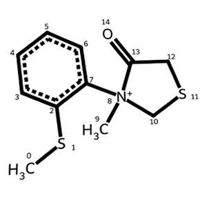 CSc1ccccc1[N+]1(C)CSCC1=O